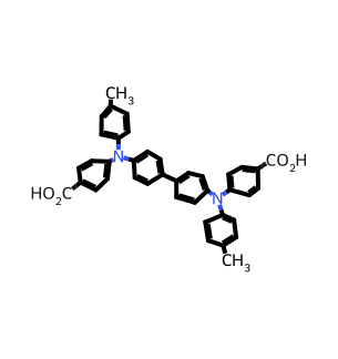 Cc1ccc(N(c2ccc(C(=O)O)cc2)c2ccc(-c3ccc(N(c4ccc(C)cc4)c4ccc(C(=O)O)cc4)cc3)cc2)cc1